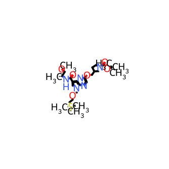 COC[C@@H](C)NC(=O)c1cn(COCCS(C)(C)C)c2ncc(OCC3CCN(C(=O)OC(C)(C)C)C3)nc12